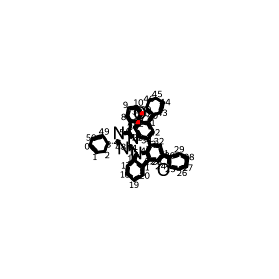 C1=CC[C@@H](c2nc(-c3ccccc3)nc(-n3c4ccccc4c4c5oc6ccccc6c5cc(-c5ccc6oc7c(c6c5)C=CCC7)c43)n2)C=C1